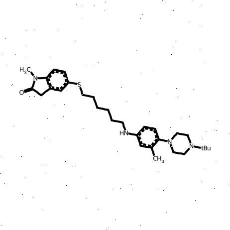 Cc1cc(NCCCCCCSc2ccc3c(c2)CC(=O)N3C)ccc1N1CCN(C(C)(C)C)CC1